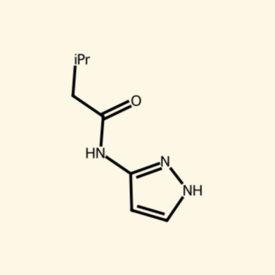 CC(C)CC(=O)Nc1cc[nH]n1